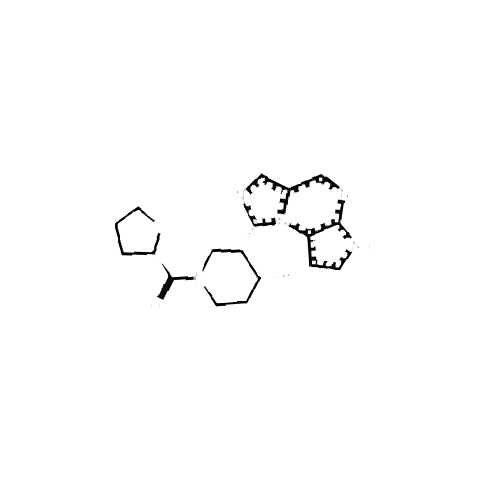 C[C@@H]1CCN(C(=O)[C@H]2CCCO2)C[C@@H]1c1ncc2cnc3[nH]ccc3n12